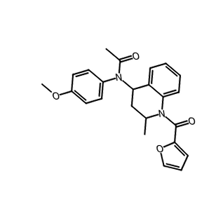 COc1ccc(N(C(C)=O)C2CC(C)N(C(=O)c3ccco3)c3ccccc32)cc1